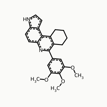 COc1cc(-c2nc3ccc4[nH]ccc4c3c3c2CCCC3)cc(OC)c1OC